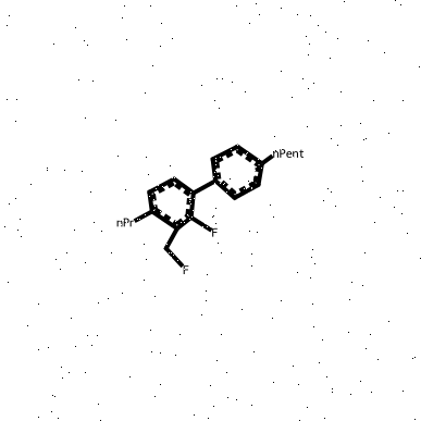 CCCCCc1ccc(-c2ccc(CCC)c(CF)c2F)cc1